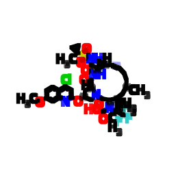 COc1ccc2c(Cl)cc(O[C@@H]3C[C@H]4C(=O)N[C@]5(C(=O)NS(=O)(=O)C6(C)CC6)C[C@H]5/C=C\CC[C@@H](C)C[C@@H](C)[C@H](N(C(=O)O)C(C)(C)C(F)(F)F)C(=O)N4C3)nc2c1